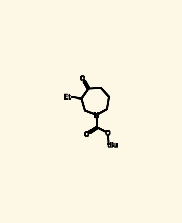 CCC1CN(C(=O)OC(C)(C)C)CCCC1=O